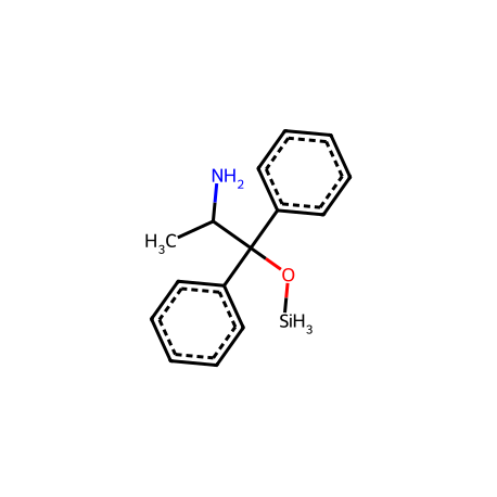 CC(N)C(O[SiH3])(c1ccccc1)c1ccccc1